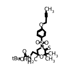 CC#CCOc1ccc(S(=O)(=O)N2C[C@](CNC(=O)OC(C)(C)C)(C(=O)O)OC(C)(C)C2=S)cc1